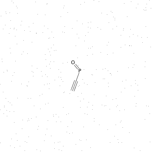 C#CP=O